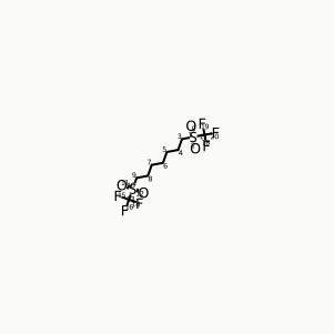 O=S(=O)(CCCCCCCS(=O)(=O)C(F)(F)F)C(F)(F)F